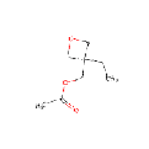 CCC1(COC(C)=O)COC1